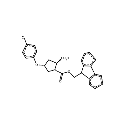 O=C(O)[C@@H]1C[C@@H](Oc2ccc(Cl)cc2)CN1C(=O)OCC1c2ccccc2-c2ccccc21